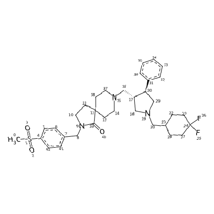 CS(=O)(=O)c1ccc(CN2CCC3(CCN(C[C@H]4CN(CC5CCC(F)(F)CC5)C[C@@H]4c4ccccc4)CC3)C2=O)cc1